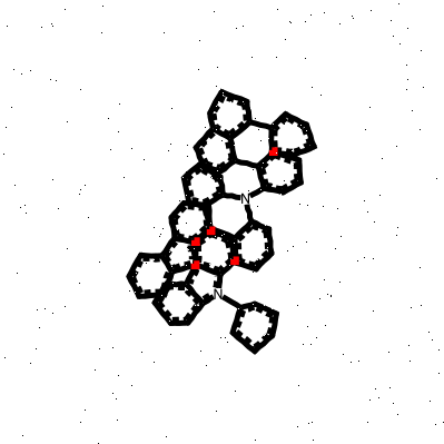 c1ccc(-c2cccc3cccc(-c4ccccc4N(c4ccccc4-c4ccc5c(c4)c4ccccc4n5-c4ccccc4)c4ccccc4-c4cccc5c4sc4ccccc45)c23)cc1